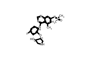 Cc1cc(N=S(C)(C)=O)cc2ncnc(Nc3ccc(F)cc3O[C@@H]3CNC[C@H]3O)c12